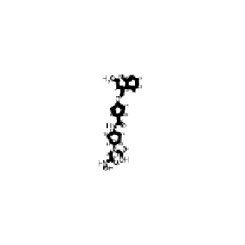 Cc1cc(COc2ccc(C(=O)N[C@H]3CC[C@H](N(CC(=O)NO)C(=O)O)CC3)cc2)c2ccccc2n1